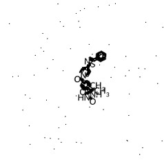 CC(C)C1(c2ccc(C(=O)N3CCC(c4ncc(-c5ccccc5)s4)CC3)cc2)NC(=O)NC1=O